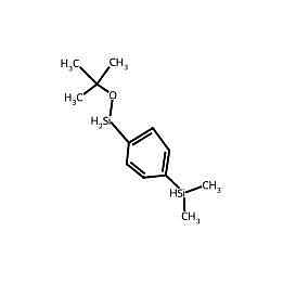 C[SiH](C)c1ccc([SiH2]OC(C)(C)C)cc1